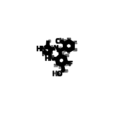 Cc1[nH]nc2c1N=C(c1ccccc1Cl)c1cc(F)c(CO)cc1N2